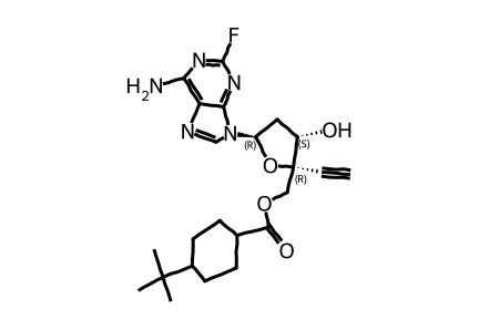 C#C[C@]1(COC(=O)C2CCC(C(C)(C)C)CC2)O[C@@H](n2cnc3c(N)nc(F)nc32)C[C@@H]1O